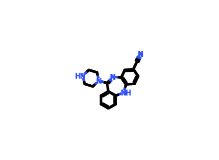 N#Cc1ccc2c(c1)N=C(N1CCNCC1)c1ccccc1N2